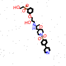 O=S(=O)(CCO)c1cccc(OC[C@@H](O)CN[C@H]2COC3(CCN(S(=O)(=O)c4ccc(-c5ccncc5)cc4)CC3)C2)c1